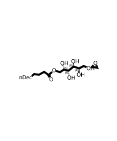 C1CO1.CCCCCCCCCCCCCC(=O)OC[C@H](O)[C@@H](O)[C@H](O)[C@H](O)CO